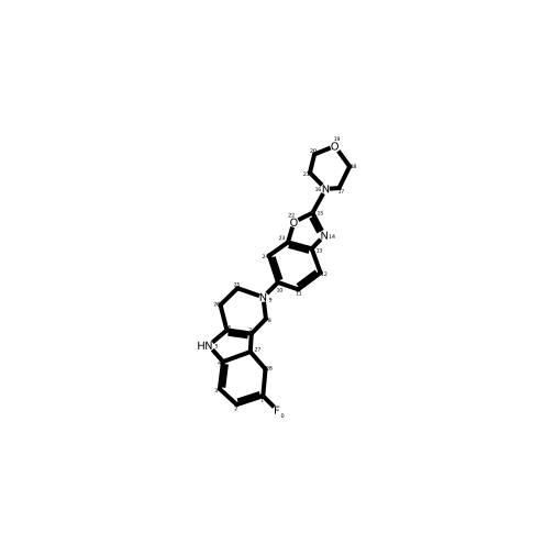 FC1=CC=C2NC3=C(CN(c4ccc5nc(N6CCOCC6)oc5c4)CC3)C2C1